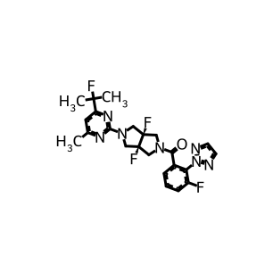 Cc1cc(C(C)(C)F)nc(N2C[C@]3(F)CN(C(=O)c4cccc(F)c4-n4nccn4)C[C@]3(F)C2)n1